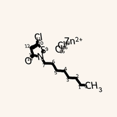 CCCCCCCCn1sc(Cl)cc1=O.[Cl-].[Cl-].[Zn+2]